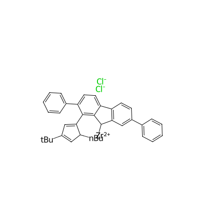 CCCCC1C=C(C(C)(C)C)C=C1c1c(-c2ccccc2)ccc2c1[CH]([Zr+2])c1cc(-c3ccccc3)ccc1-2.[Cl-].[Cl-]